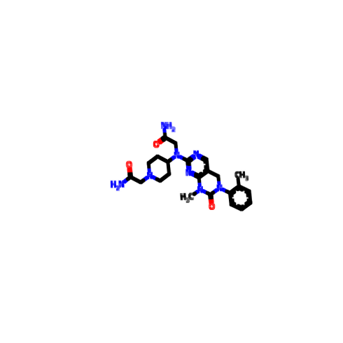 Cc1ccccc1N1Cc2cnc(N(CC(N)=O)C3CCN(CC(N)=O)CC3)nc2N(C)C1=O